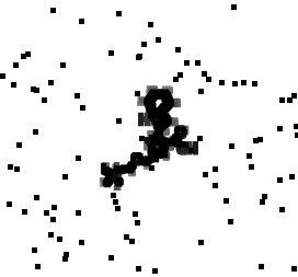 C[Si](C)(C)CCOCn1cc(C(=O)O)c(-c2cc3ccccc3[nH]2)n1